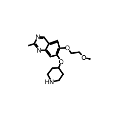 COCCOc1cc2cnc(C)nc2cc1OC1CCNCC1